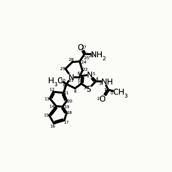 CC(=O)Nc1ncc(CC(C)(c2ccc3ccccc3c2)N2CCC(C(N)=O)CC2)s1